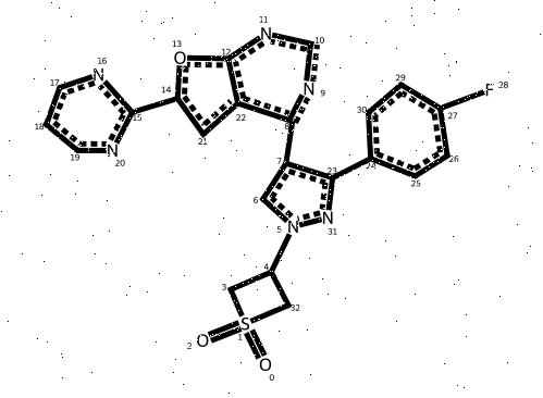 O=S1(=O)CC(n2cc(-c3ncnc4oc(-c5ncccn5)cc34)c(-c3ccc(F)cc3)n2)C1